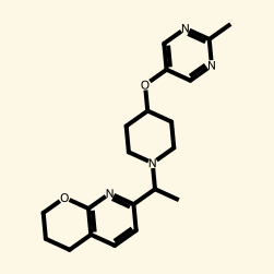 Cc1ncc(OC2CCN(C(C)c3ccc4c(n3)OCCC4)CC2)cn1